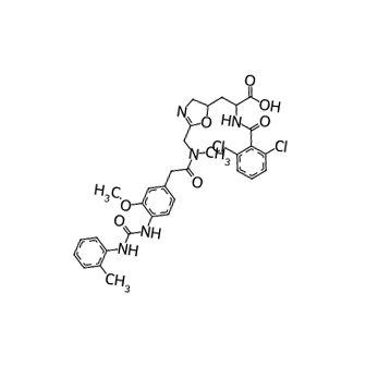 COc1cc(CC(=O)N(C)CC2=NCC(CC(NC(=O)c3c(Cl)cccc3Cl)C(=O)O)O2)ccc1NC(=O)Nc1ccccc1C